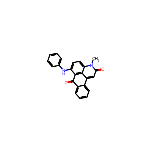 Cn1c(=O)cc2c3c(c(Nc4ccccc4)ccc31)C(=O)c1ccccc1-2